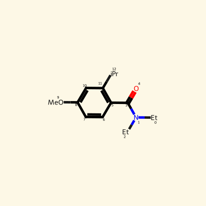 CCN(CC)C(=O)c1ccc(OC)cc1C(C)C